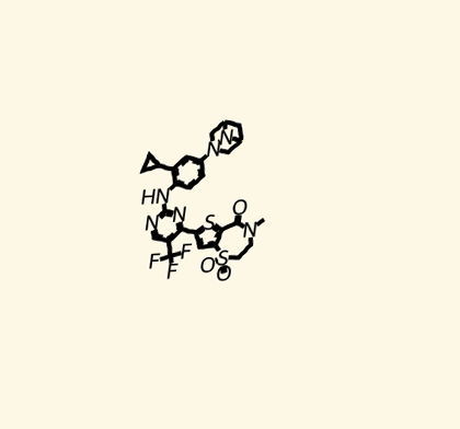 CN1CCS(=O)(=O)c2cc(-c3nc(Nc4ccc(N5CC6CC(C5)N6C)cc4C4CC4)ncc3C(F)(F)F)sc2C1=O